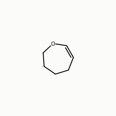 [CH]1CCC=COC1